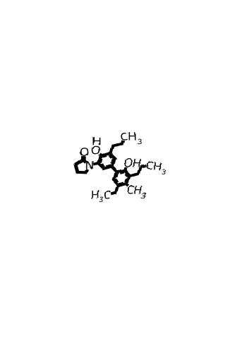 CCCc1cc(-c2cc(CC)c(C)c(CCC)c2O)cc(N2CCCC2=O)c1O